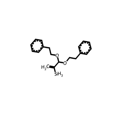 C=C([SiH3])C(OCCc1ccccc1)OCCc1ccccc1